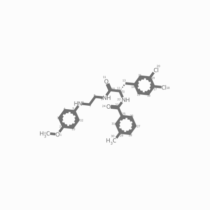 COc1ccc(NCCNC(=O)[C@H](Cc2ccc(Cl)c(Cl)c2)NC(=O)c2cccc(C)c2)cc1